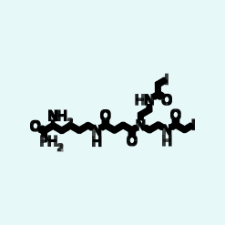 N[C@@H](CCCCNC(=O)CCC(=O)N(CCNC(=O)CI)CCNC(=O)CI)C(=O)P